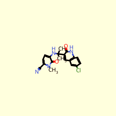 Cn1c(C#N)ccc(NC(C)(C)c2cc3cc(Cl)ccc3[nH]c2=O)c1=O